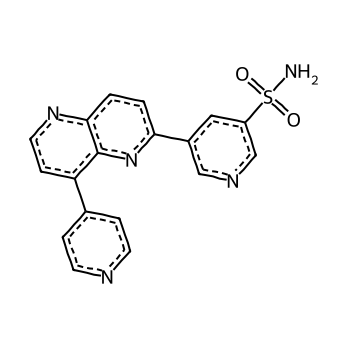 NS(=O)(=O)c1cncc(-c2ccc3nccc(-c4ccncc4)c3n2)c1